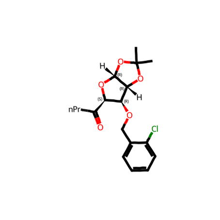 CCCC(=O)[C@H]1O[C@@H]2OC(C)(C)O[C@@H]2[C@H]1OCc1ccccc1Cl